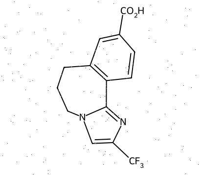 O=C(O)c1ccc2c(c1)CCCn1cc(C(F)(F)F)nc1-2